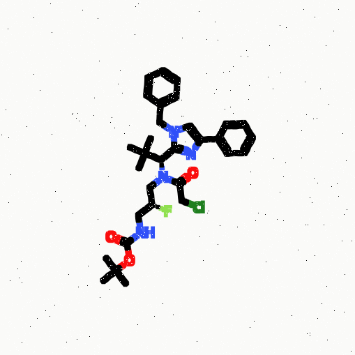 CC(C)(C)OC(=O)NC[C@@H](F)CN(C(=O)CCl)[C@@H](c1nc(-c2ccccc2)cn1Cc1ccccc1)C(C)(C)C